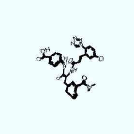 CN(C)C(=O)c1cccc(CC(NC(=O)C=Cc2cc(Cl)ccc2-n2cnnn2)C(=O)Nc2ccc(C(=O)O)cc2)c1